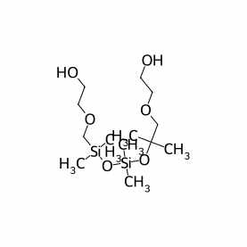 CC(C)(COCCO)O[Si](C)(C)O[Si](C)(C)COCCO